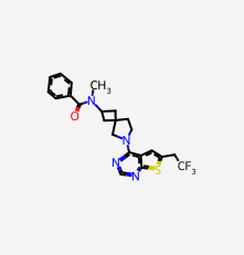 CN(C(=O)c1ccccc1)C1CC2(CCN(c3ncnc4sc(CC(F)(F)F)cc34)C2)C1